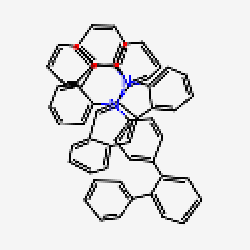 c1ccc(-c2ccccc2-c2ccc(N(c3ccccc3-c3ccccc3)c3ccccc3-c3ccccc3-n3c4ccccc4c4cc5ccccc5cc43)cc2)cc1